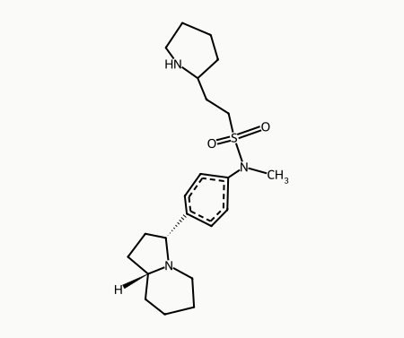 CN(c1ccc([C@H]2CC[C@H]3CCCCN32)cc1)S(=O)(=O)CCC1CCCCN1